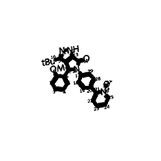 COc1ccccc1C1c2c(C(C)(C)C)n[nH]c2C(=O)N1c1ccc(-c2cccc[n+]2[O-])cc1